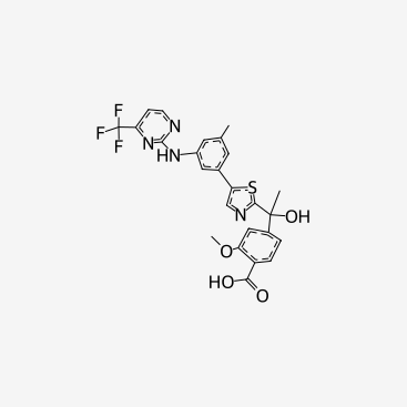 COc1cc(C(C)(O)c2ncc(-c3cc(C)cc(Nc4nccc(C(F)(F)F)n4)c3)s2)ccc1C(=O)O